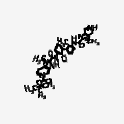 Cc1c(NC(=O)c2nc3c(n2C)CCNC3)cccc1-c1cccc(NC(=O)c2nc3c(n2C)CCN(C(=O)OC(C)(C)C)C3)c1Cl